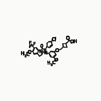 COc1cc(N[C@H](C(=O)N2CCc3cc(OC)c(C(F)(F)F)cc32)c2ccc(Cl)cc2)cc(OCC2CC(C(=O)O)C2)c1